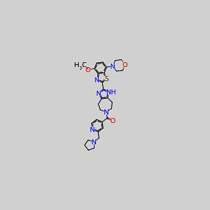 COc1ccc(N2CCOCC2)c2sc(-c3nc4c([nH]3)CCN(C(=O)c3ccnc(CN5CCCC5)c3)CC4)nc12